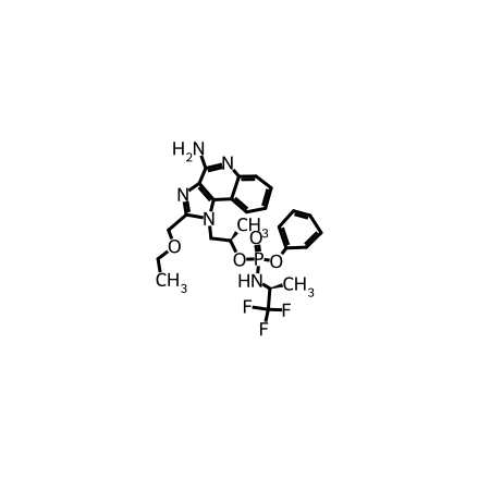 CCOCc1nc2c(N)nc3ccccc3c2n1C[C@@H](C)OP(=O)(N[C@@H](C)C(F)(F)F)Oc1ccccc1